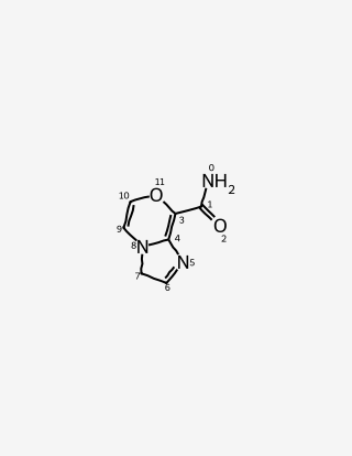 NC(=O)C1=C2N=CCN2C=CO1